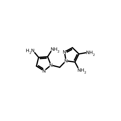 Nc1cnn(Cn2ncc(N)c2N)c1N